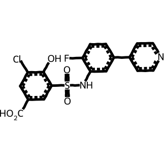 O=C(O)c1cc(Cl)c(O)c(S(=O)(=O)Nc2cc(-c3ccncc3)ccc2F)c1